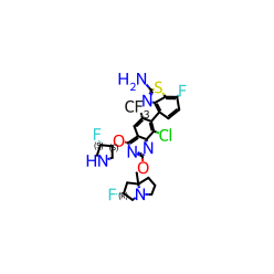 Nc1nc2c(-c3c(C(F)(F)F)cc4c(O[C@H]5CNC[C@@H]5F)nc(OCC56CCCN5C[C@H](F)C6)nc4c3Cl)ccc(F)c2s1